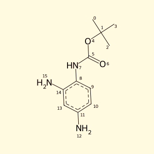 CC(C)(C)OC(=O)Nc1ccc(N)cc1N